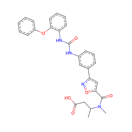 CC(CC(=O)O)N(C)C(=O)c1cc(-c2cccc(NC(=O)Nc3ccccc3Oc3ccccc3)c2)no1